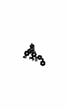 COc1ccc(CN(c2cscn2)S(=O)(=O)c2cc(C(F)F)c(N[C@H]3CCN(Cc4ccccc4)C3)cn2)cc1